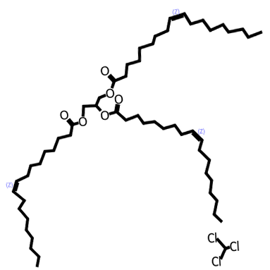 CCCCCCCC/C=C\CCCCCCCC(=O)OCC(COC(=O)CCCCCCC/C=C\CCCCCCCC)OC(=O)CCCCCCC/C=C\CCCCCCCC.ClC(Cl)Cl